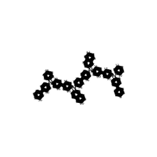 c1ccc(-c2ccc(N(c3ccccc3)c3ccc(-c4ccc(N(c5ccc(-c6ccc(N(c7ccc(-c8ccc(N(c9ccccc9)c9ccc(-c%10ccccc%10)cc9)cc8)cc7)c7ccc8ccccc8c7)cc6)cc5)c5ccc6ccccc6c5)cc4)cc3)cc2)cc1